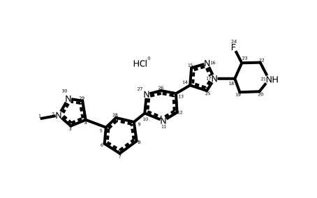 Cl.Cn1cc(-c2cccc(-c3ncc(-c4cnn(C5CCNCC5F)c4)cn3)c2)cn1